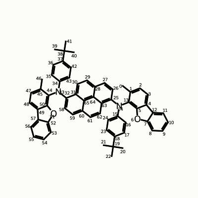 Cc1ccc2c(oc3ccccc32)c1N(c1ccc(C(C)(C)C)cc1)c1ccc2ccc3c(N(c4ccc(C(C)(C)C)cc4)c4c(C)ccc5c4oc4ccccc45)ccc4ccc1c2c43